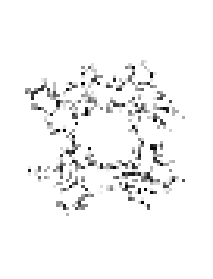 CC(C)(C)C1=C(c2ccccc2O)c2nc1nc1[nH]c(nc3nc(nc4[nH]c(n2)c(C(C)(C)C)c4-c2ccccc2O)C(C(C)(C)C)=C3c2ccccc2O)c(C(C)(C)C)c1-c1ccccc1O